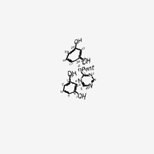 CCCCCc1ncncn1.Oc1cccc(O)c1.Oc1cccc(O)c1